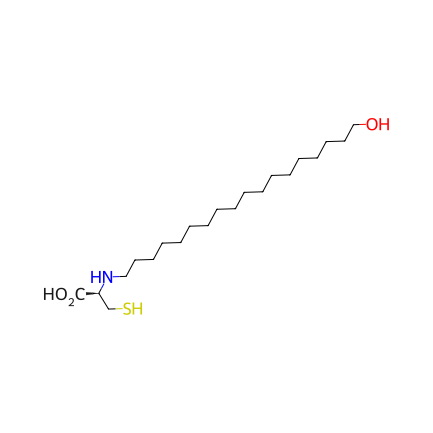 O=C(O)[C@H](CS)NCCCCCCCCCCCCCCCCCCO